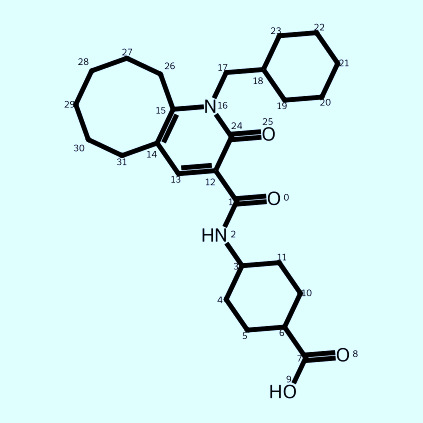 O=C(NC1CCC(C(=O)O)CC1)c1cc2c(n(CC3CCCCC3)c1=O)CCCCCC2